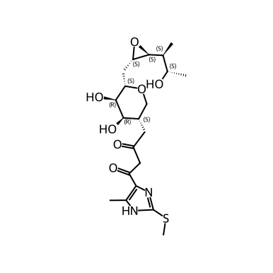 CSc1nc(C(=O)CC(=O)C[C@H]2CO[C@@H](C[C@@H]3O[C@H]3[C@@H](C)[C@H](C)O)[C@H](O)[C@@H]2O)c(C)[nH]1